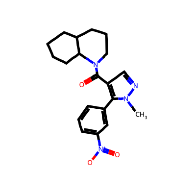 Cn1ncc(C(=O)N2CCCC3CCCCC32)c1-c1cccc([N+](=O)[O-])c1